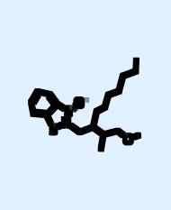 CCCCCCCC(CN1Sc2ccccc2[S+]1[O-])C(C)COC